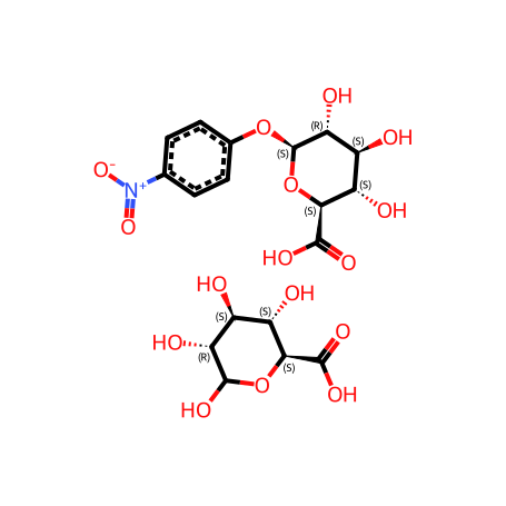 O=C(O)[C@H]1OC(O)[C@H](O)[C@@H](O)[C@@H]1O.O=C(O)[C@H]1O[C@@H](Oc2ccc([N+](=O)[O-])cc2)[C@H](O)[C@@H](O)[C@@H]1O